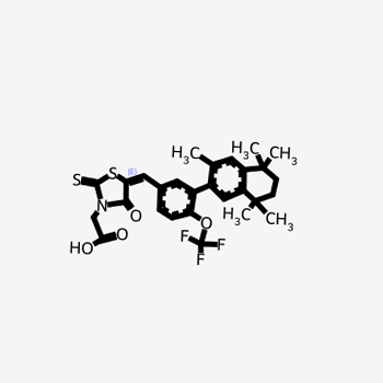 Cc1cc2c(cc1-c1cc(/C=C3/SC(=S)N(CC(=O)O)C3=O)ccc1OC(F)(F)F)C(C)(C)CCC2(C)C